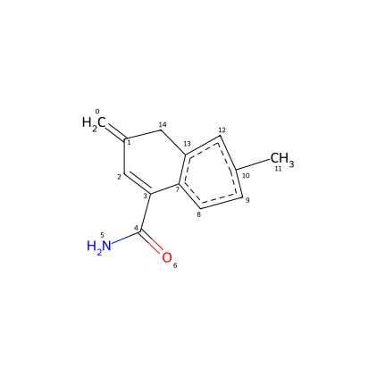 C=C1C=C(C(N)=O)c2ccc(C)cc2C1